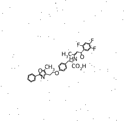 CC(=CC(=O)c1cc(F)c(F)cc1F)N[C@@H](Cc1ccc(OCCc2nc(-c3ccccc3)oc2C)cc1)C(=O)O